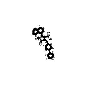 CN1C(=O)C2=C(c3cccc4ccccc34)N(C)C(=O)C2=C1c1ccc(-c2ccccc2)cc1